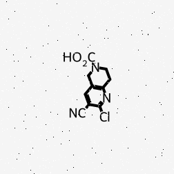 N#Cc1cc2c(nc1Cl)CCN(C(=O)O)C2